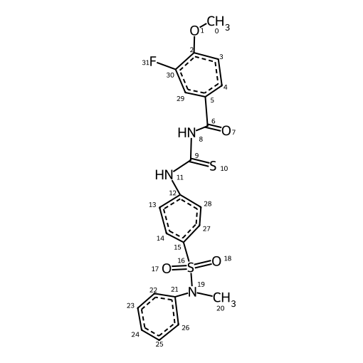 COc1ccc(C(=O)NC(=S)Nc2ccc(S(=O)(=O)N(C)c3ccccc3)cc2)cc1F